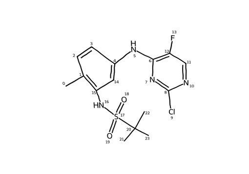 Cc1ccc(Nc2nc(Cl)ncc2F)cc1NS(=O)(=O)C(C)(C)C